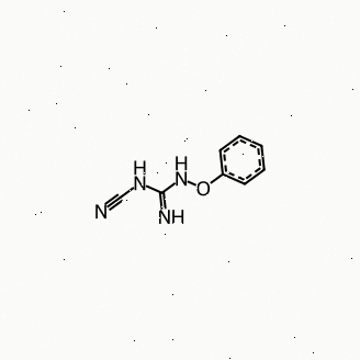 N#CNC(=N)NOc1ccccc1